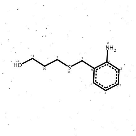 Nc1ccccc1CSCCCO